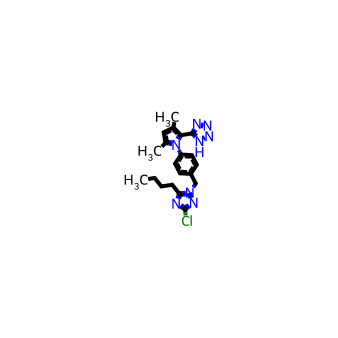 CCCCc1nc(Cl)nn1Cc1ccc(-n2c(C)cc(C)c2-c2nnn[nH]2)cc1